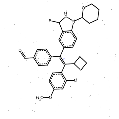 COc1ccc(/C(=C(\c2ccc(C=O)cc2)c2ccc3c(c2)C(F)NN3C2CCCCO2)C2CCC2)c(Cl)c1